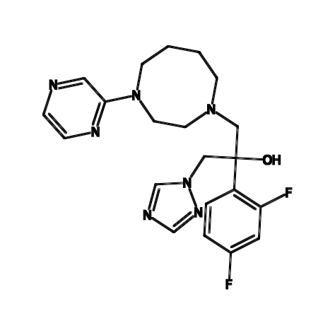 OC(CN1CCCCN(c2cnccn2)CC1)(Cn1cncn1)c1ccc(F)cc1F